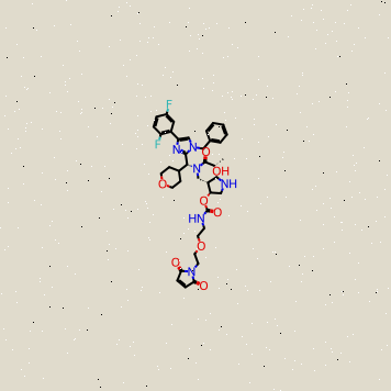 C[C@H](O)C(=O)N(C[C@@H]1CNC[C@H]1OC(=O)NCCOCCN1C(=O)C=CC1=O)[C@@H](c1nc(-c2cc(F)ccc2F)cn1Cc1ccccc1)C1CCOCC1